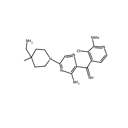 CNc1nccc(C(=N)c2ncc(N3CCC(C)(CN)CC3)nc2N)c1Cl